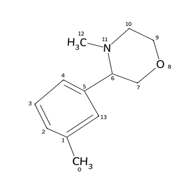 Cc1cccc(C2COCCN2C)c1